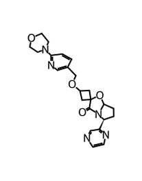 O=C1N2C(CC[C@H]2c2cnccn2)OC12CC(OCc1ccc(N3CCOCC3)nc1)C2